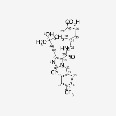 CC(C)(O)C#Cc1nc(Cl)n(Cc2ccc(C(F)(F)F)cc2)c1C(=O)NCC1CCC(C(=O)O)CC1